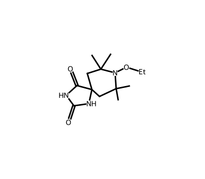 CCON1C(C)(C)CC2(CC1(C)C)NC(=O)NC2=O